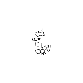 COc1cccc2c1OCCC2NC(=O)C(C)(C)COc1cccc2nc(C)c(C(=O)O)c(N)c12